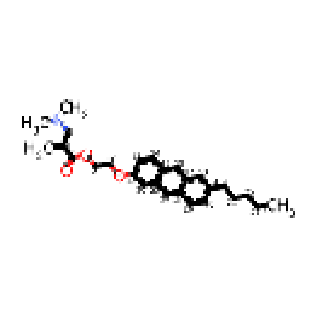 C=C(CN(C)C)C(=O)OCCOc1ccc2cc3cc(CCCCC)ccc3cc2c1